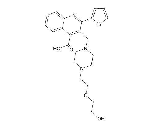 O=C(O)c1c(CN2CCN(CCOCCO)CC2)c(-c2cccs2)nc2ccccc12